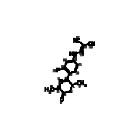 CC1CC(=O)N(C)N=C1c1ccc(NN=C(C#N)C#N)cc1F